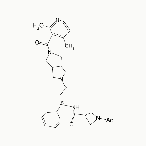 CC(=O)N1CC(C(=O)N[C@@H](CCN2CC3CN(C(=O)c4c(C)ccnc4C)CC3C2)c2ccccc2)C1